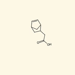 O=C(O)C[C]1CC2C=CC1C2